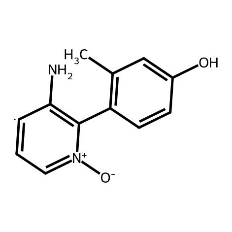 Cc1cc(O)ccc1-c1c(N)[c]cc[n+]1[O-]